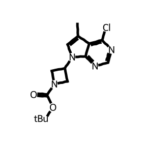 Cc1cn(C2CN(C(=O)OC(C)(C)C)C2)c2ncnc(Cl)c12